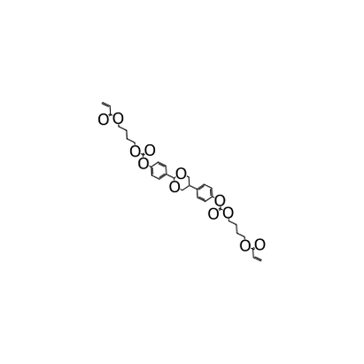 C=CC(=O)OCCCCOC(=O)Oc1ccc(C2COC(c3ccc(OC(=O)OCCCCOC(=O)C=C)cc3)OC2)cc1